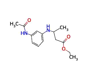 CCOC(=O)CC(C)Nc1cccc(NC(C)=O)c1